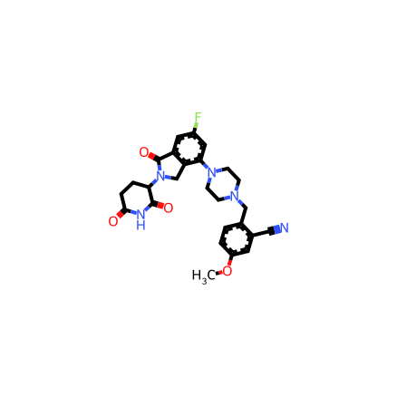 COc1ccc(CN2CCN(c3cc(F)cc4c3CN(C3CCC(=O)NC3=O)C4=O)CC2)c(C#N)c1